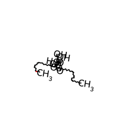 CC/C=C\C/C=C\C/C=C\CCCCCCCC(=O)O[C@H](COC(=O)CCCCCC/C=C\C/C=C\C/C=C\CCCCC)COP(=O)(O)OC[C@@H](O)CO